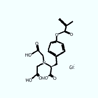 C=C(C)C(=O)Oc1ccc(C[C@@H](C(=O)O)N(CC(=O)O)CC(=O)O)cc1.[Ga]